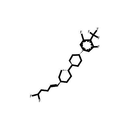 Fc1cc([C@H]2CC[C@H]([C@H]3CC[C@H](C=CCCC(F)F)CC3)CC2)cc(F)c1C(F)(F)F